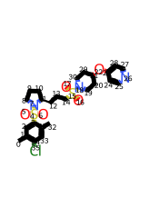 Cc1cc(S(=O)(=O)N2CCC[C@H]2CCCS(=O)(=O)N2CCC(Oc3ccncc3)CC2)c(C)cc1Cl